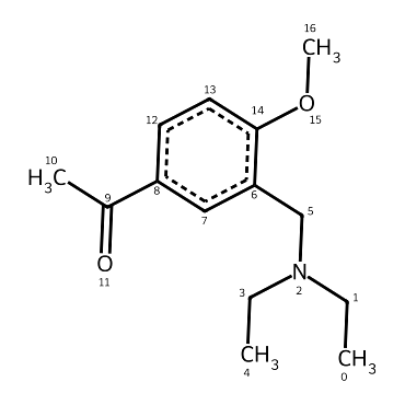 CCN(CC)Cc1cc(C(C)=O)ccc1OC